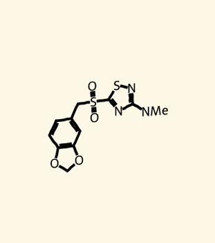 CNc1nsc(S(=O)(=O)Cc2ccc3c(c2)OCO3)n1